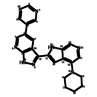 c1ncc(-c2cnc3[nH]nc(-c4cc5c(N6CCCCC6)cncc5[nH]4)c3c2)cn1